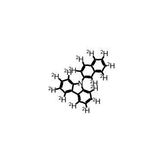 [2H]c1c([2H])c([2H])c2c([2H])c(-n3c4c([2H])c([2H])c([2H])c([2H])c4c4c([2H])c([2H])c([2H])c([2H])c43)c([2H])c([2H])c2c1[2H]